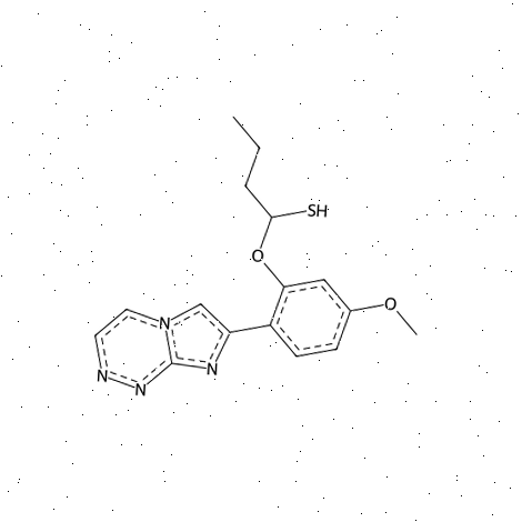 CCCC(S)Oc1cc(OC)ccc1-c1cn2ccnnc2n1